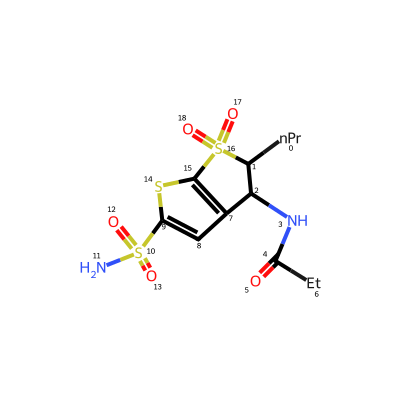 CCCC1C(NC(=O)CC)c2cc(S(N)(=O)=O)sc2S1(=O)=O